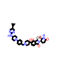 C[C@@H]1c2cc(C3(O)CCN(Cc4ccc(N5CCC(Nc6ncc(C7CC7)cn6)CC5)cc4)CC3)ccc2C(=O)N1[C@H]1CCC(=O)NC1=O